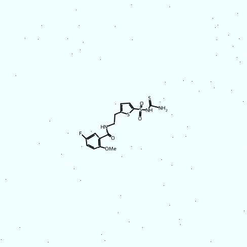 COc1ccc(F)cc1C(=O)NCCc1ccc(S(=O)(=O)NC(N)=S)s1